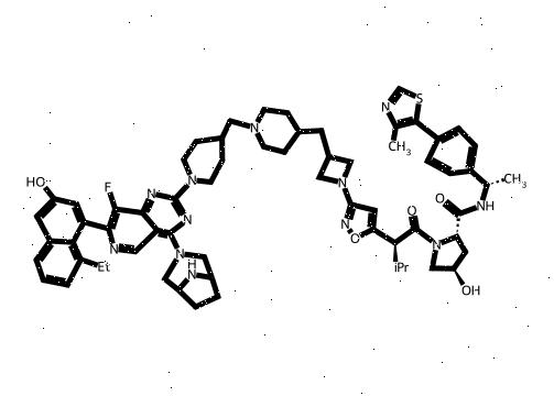 CCc1cccc2cc(O)cc(-c3ncc4c(N5CC6CCC(C5)N6)nc(N5CCC(CN6CCC(CC7CN(c8cc([C@@H](C(=O)N9C[C@H](O)C[C@H]9C(=O)N[C@@H](C)c9ccc(-c%10scnc%10C)cc9)C(C)C)on8)C7)CC6)CC5)nc4c3F)c12